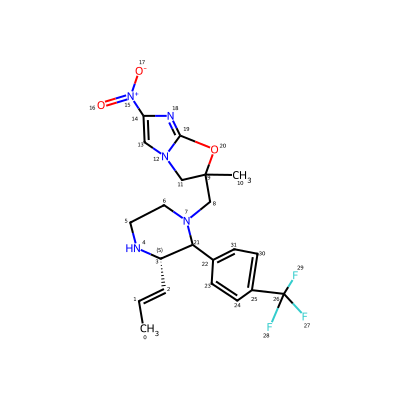 CC=C[C@@H]1NCCN(CC2(C)Cn3cc([N+](=O)[O-])nc3O2)C1c1ccc(C(F)(F)F)cc1